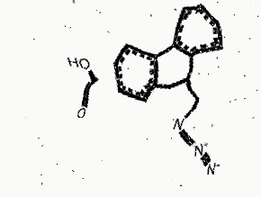 O=CO.[N-]=[N+]=NCC1c2ccccc2-c2ccccc21